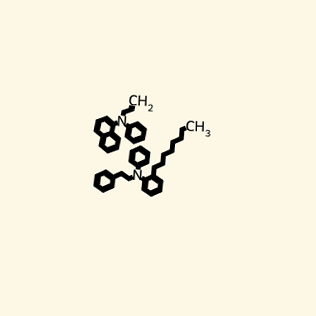 C=CCN(c1ccccc1)c1cccc2ccccc12.CCCCCCCCc1ccccc1N(CCc1ccccc1)c1ccccc1